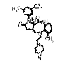 Cc1cc(C(F)(F)F)cc(N2C(=O)CC3CN(CCN4CCNCC4)c4c(C)cccc4NC(=O)[C@H]32)n1